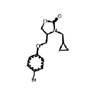 O=C1OCC(COc2ccc(Br)cc2)N1CC1CC1